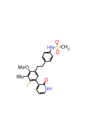 COc1c(CCc2ccc(NS(C)(=O)=O)cc2)cc(-c2ccc[nH]c2=O)c(F)c1C(C)(C)C